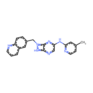 Cc1ccnc(Nc2cnc3[nH]n(Cc4ccc5ncccc5c4)c3n2)c1